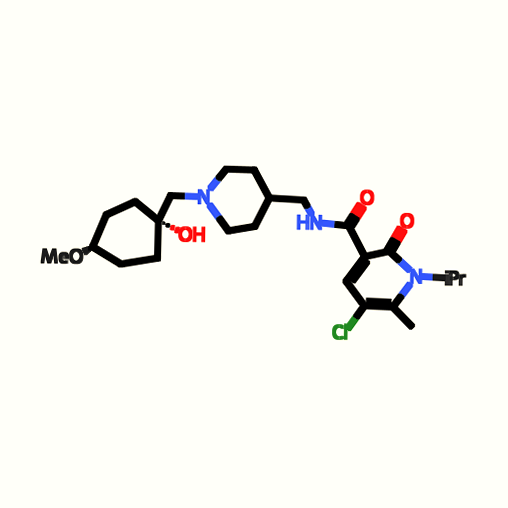 CO[C@H]1CC[C@@](O)(CN2CCC(CNC(=O)c3cc(Cl)c(C)n(C(C)C)c3=O)CC2)CC1